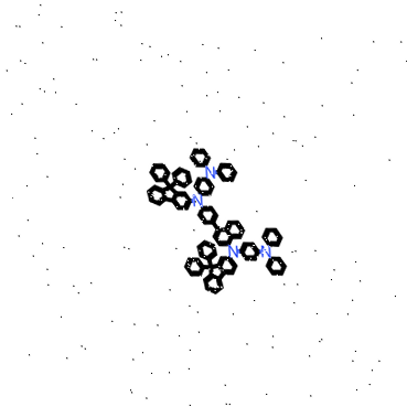 c1ccc(N(c2ccccc2)c2ccc(N(c3ccc(-c4ccc(N(c5ccc(N(c6ccccc6)c6ccccc6)cc5)c5ccc6c(c5)C(c5ccccc5)(c5ccccc5)c5ccccc5-6)c5ccccc45)cc3)c3ccc4c(c3)C(c3ccccc3)(c3ccccc3)c3ccccc3-4)cc2)cc1